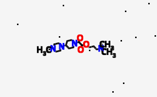 CN(C)CCCOC(=O)C(=O)N1CCC(N2CCN(C)CC2)CC1